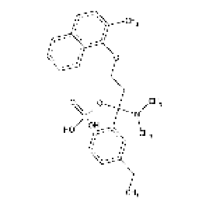 CCc1cccc(C(CCOc2c(C)ccc3ccccc23)(OP(=O)(O)O)N(C)C)c1